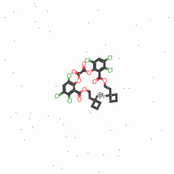 CC(C)C1(CCOC(=O)c2c(Cl)c(Cl)cc(Cl)c2OC(=O)C(=O)Oc2c(Cl)cc(Cl)c(Cl)c2C(=O)OCCC2(C(C)C)CCC2)CCC1